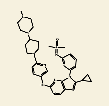 CN1CCN(C2CCN(c3ccc(Nc4ncc5cc(C6CC6)n(-c6cccc(N=S(C)(C)=O)n6)c5n4)cn3)CC2)CC1